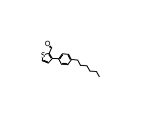 CCCCCCc1ccc(-c2ccsc2C=O)cc1